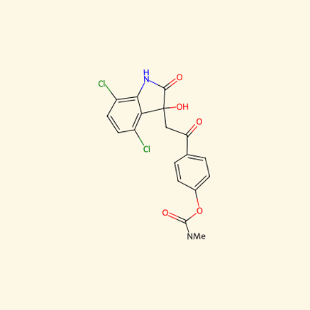 CNC(=O)Oc1ccc(C(=O)CC2(O)C(=O)Nc3c(Cl)ccc(Cl)c32)cc1